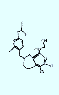 Cc1nc(OC(F)F)ccc1CN1CCc2c(C#N)c(Cl)nc(NCC#N)c2C1